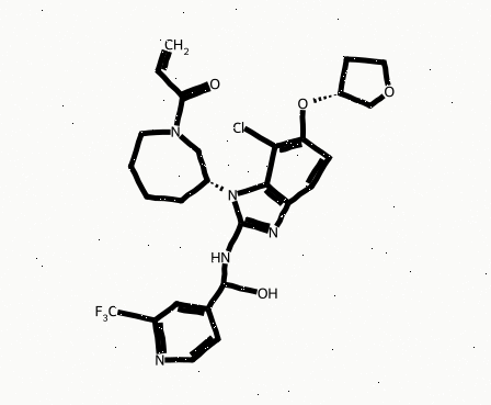 C=CC(=O)N1CCCC[C@@H](n2c(NC(O)c3ccnc(C(F)(F)F)c3)nc3ccc(O[C@@H]4CCOC4)c(Cl)c32)C1